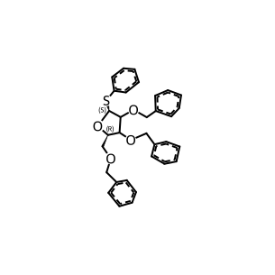 c1ccc(COC[C@H]2O[C@@H](Sc3ccccc3)C(OCc3ccccc3)C2OCc2ccccc2)cc1